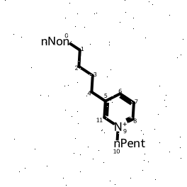 CCCCCCCCCCCCCc1ccc[n+](CCCCC)c1